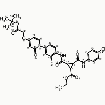 CCOC(=O)C1C(C(=O)Nc2ccc(Cl)cc2)C1C(=O)Nc1ccc(-n2ccc(OCC(=O)OC(C)(C)C)cc2=O)cc1F